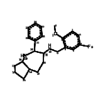 COc1ccc(F)cc1CNC1CCC2CCCC2NC1c1ccccc1